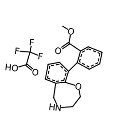 COC(=O)c1ccccc1-c1cccc2c1OCCNC2.O=C(O)C(F)(F)F